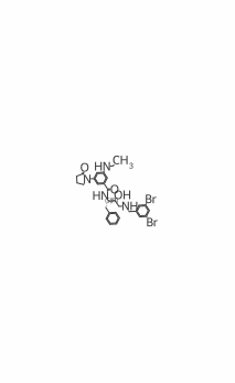 CCNc1cc(C(=O)N[C@@H](Cc2ccccc2)[C@H](O)CNCc2cc(Br)cc(Br)c2)cc(N2CCCC2=O)c1